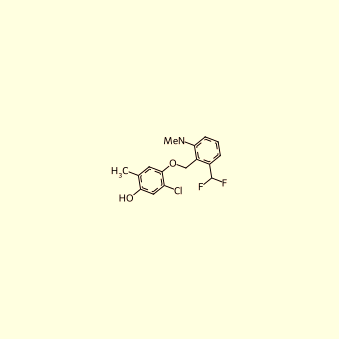 CNc1cccc(C(F)F)c1COc1cc(C)c(O)cc1Cl